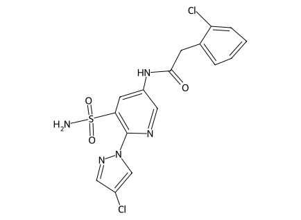 NS(=O)(=O)c1cc(NC(=O)Cc2ccccc2Cl)cnc1-n1cc(Cl)cn1